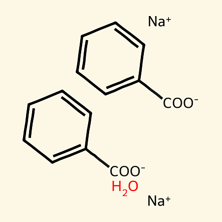 O.O=C([O-])c1ccccc1.O=C([O-])c1ccccc1.[Na+].[Na+]